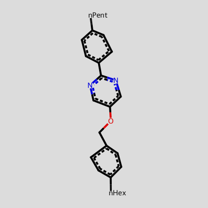 CCCCCCc1ccc(COc2cnc(-c3ccc(CCCCC)cc3)nc2)cc1